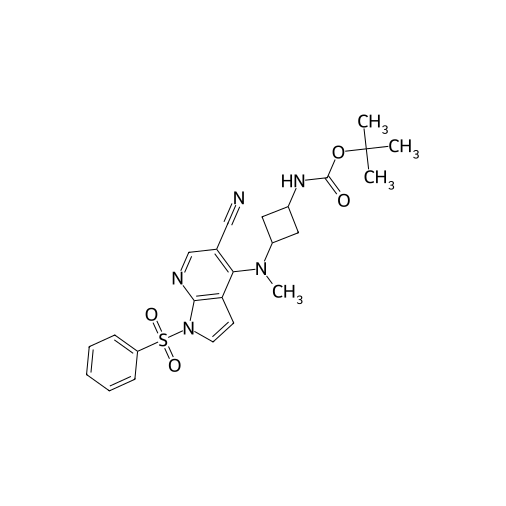 CN(c1c(C#N)cnc2c1ccn2S(=O)(=O)c1ccccc1)C1CC(NC(=O)OC(C)(C)C)C1